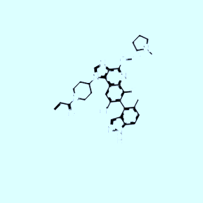 C=CC(=O)N1CCC(n2cnc3c(OC[C@@H]4CCCN4C)nc4c(F)c(-c5c(C)ccc6[nH]ncc56)c(Cl)cc4c32)CC1